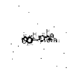 CC(C)(C)S(=O)(=O)NC1CCC(CNc2ccc3occc3c2)CC1